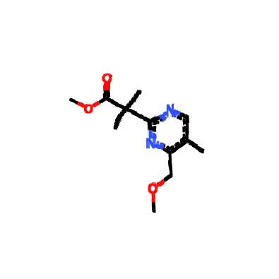 COCc1nc(C(C)(C)C(=O)OC)ncc1C